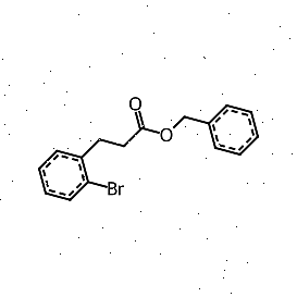 O=C(CCc1ccccc1Br)OCc1ccccc1